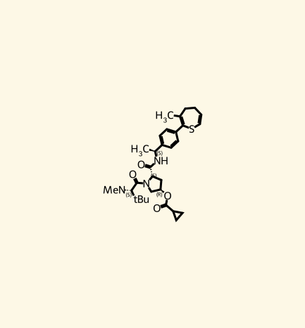 CN[C@H](C(=O)N1C[C@H](OC(=O)C2CC2)C[C@H]1C(=O)N[C@@H](C)c1ccc(C2=C(C)CCC=CS2)cc1)C(C)(C)C